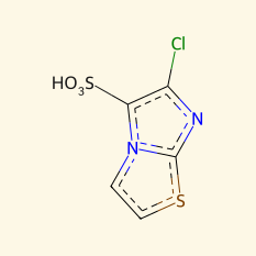 O=S(=O)(O)c1c(Cl)nc2sccn12